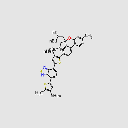 CCCCCCc1cc(-c2ccc(-c3cc(CCCCCC)c(-c4ccc5c(c4)C(CC(CC)CCCC)(CC(CC)CCCC)Oc4cc(C)ccc4-5)s3)c3nsnc23)sc1C